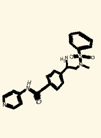 CN(CC(N)c1ccc(C(=O)Nc2ccncc2)cc1)S(=O)(=O)c1ccccc1